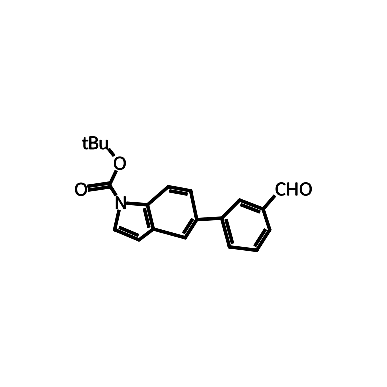 CC(C)(C)OC(=O)n1ccc2cc(-c3cccc(C=O)c3)ccc21